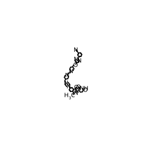 Cc1nn(C2CCC(=O)NC2=O)c(=O)c2cc(N3CCN(CC4CCN(CCN5CCC(COc6cnc(-c7cccc(C#N)c7)nc6)CC5)CC4)CC3)ccc12